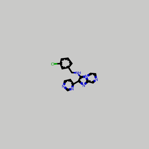 Clc1cccc(CNc2c(-c3ccncn3)nc3cnccn23)c1